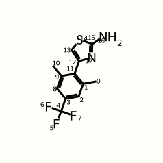 Cc1cc(C(F)(F)F)cc(C)c1-c1csc(N)n1